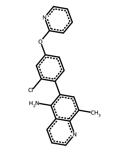 Cc1cc(-c2ccc(Oc3ccccn3)cc2Cl)c(N)c2cccnc12